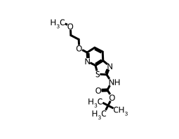 COCCOc1ccc2nc(NC(=O)OC(C)(C)C)sc2n1